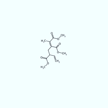 C=CC(C/C(C(=O)OC)=C(\C)C(=O)OC)C(=O)OC